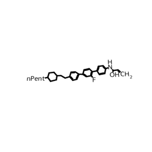 C=CC(O)Nc1ccc(-c2ccc(-c3ccc(CCC4CCC(CCCCC)CC4)cc3)cc2F)cc1